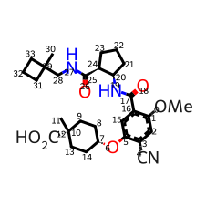 COc1cc(C#N)c(O[C@H]2CC[C@@](C)(C(=O)O)CC2)cc1C(=O)N[C@@H]1CCC[C@@H]1C(=O)NCC1(C)CCC1